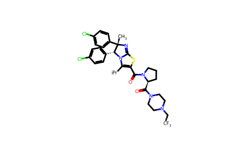 CC(C)C1=C(C(=O)N2CCC[C@H]2C(=O)N2CCN(CC(F)(F)F)CC2)SC2=N[C@@](C)(c3ccc(Cl)cc3)[C@@H](c3ccc(Cl)cc3)N21